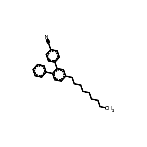 CCCCCCCCCc1ccc(-c2ccccc2)c(-c2ccc(C#N)cc2)c1